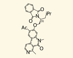 CC(=O)c1cc2c3ccnc(C)c3c(=O)n(C)c2cc1OC[C@H](CC(C)C)N1C(=O)c2ccccc2C1=O